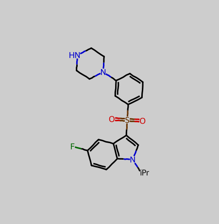 CC(C)n1cc(S(=O)(=O)c2cccc(N3CCNCC3)c2)c2cc(F)ccc21